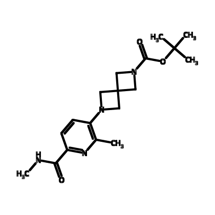 CNC(=O)c1ccc(N2CC3(CN(C(=O)OC(C)(C)C)C3)C2)c(C)n1